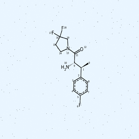 C[C@@H](c1ccc(F)cc1)[C@H](N)C(=O)N1CCC(F)(F)C1